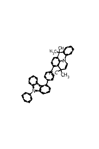 CC1(C)C=CN2c3ccccc3C(C)(C)c3ccc(-c4ccc(-c5cccc6c5c5ccccc5n6-c5ccccc5)cc4)c1c32